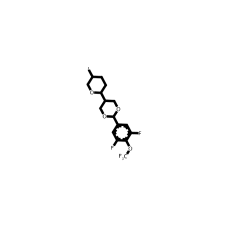 Fc1cc(C2OCC(C3CCC(I)CO3)CO2)cc(F)c1OC(F)(F)F